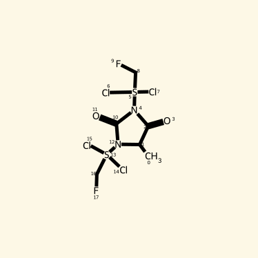 CC1C(=O)N(S(Cl)(Cl)CF)C(=O)N1S(Cl)(Cl)CF